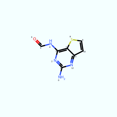 Nc1nc(NC=O)c2sccc2n1